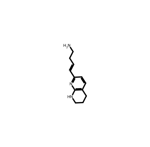 NCCC=Cc1ccc2c(n1)NCCC2